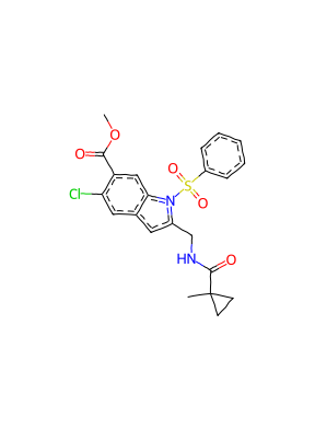 COC(=O)c1cc2c(cc1Cl)cc(CNC(=O)C1(C)CC1)n2S(=O)(=O)c1ccccc1